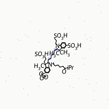 CC(C)C(=O)CCCCC[N+]1=C(/C=C/C=C/C=C2/N(CCCS(=O)(=O)O)c3ccc(S(=O)(=O)O)cc3C2(C)C)C(C)(CCCS(=O)(=O)O)c2cc(S(=O)(=O)[O-])ccc21